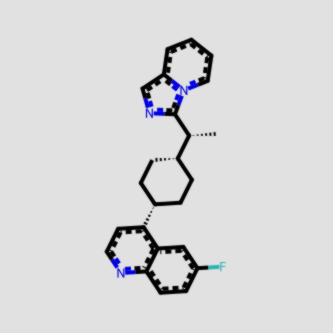 C[C@@H](c1ncc2ccccn12)[C@H]1CC[C@@H](c2ccnc3ccc(F)cc32)CC1